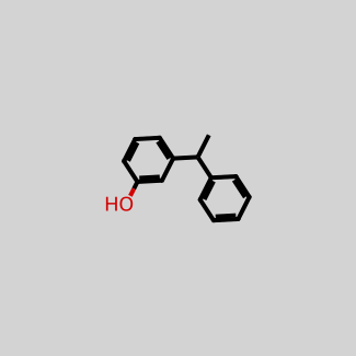 CC(c1ccccc1)c1cccc(O)c1